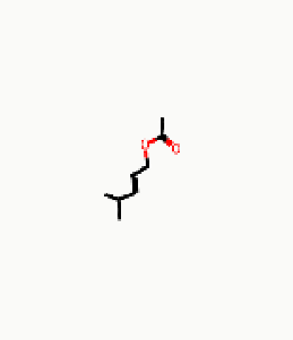 CC(=O)OCC=CC(C)C